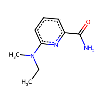 CCN(C)c1cc[c]c(C(N)=O)n1